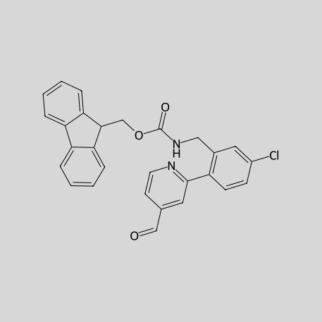 O=Cc1ccnc(-c2ccc(Cl)cc2CNC(=O)OCC2c3ccccc3-c3ccccc32)c1